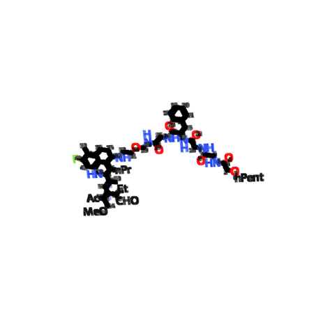 CCCCCOCC(=O)NCC(=O)NCC(=O)NC(Cc1ccccc1)C(=O)NCC(=O)NCOCCNC1CCc2c(C)c(F)cc3c2C1=C(CCC)C(/C(C)=C/C(=C(/COC)C(C)=O)C(C=O)CC)N3